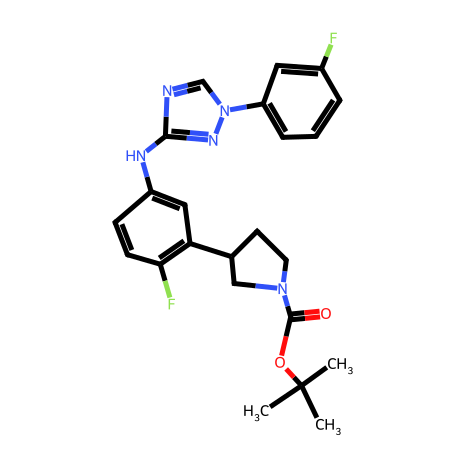 CC(C)(C)OC(=O)N1CCC(c2cc(Nc3ncn(-c4cccc(F)c4)n3)ccc2F)C1